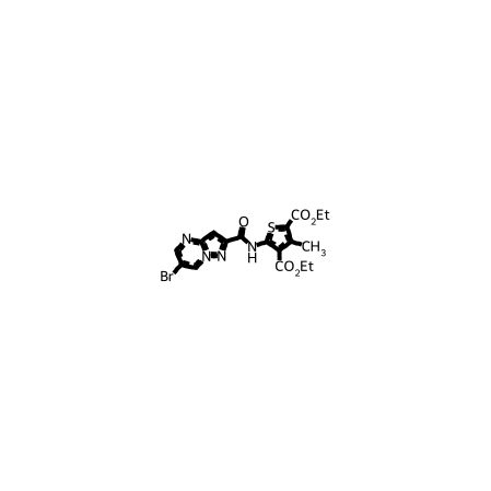 CCOC(=O)c1sc(NC(=O)c2cc3ncc(Br)cn3n2)c(C(=O)OCC)c1C